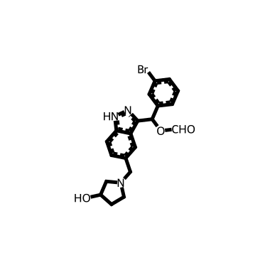 O=COC(c1cccc(Br)c1)c1n[nH]c2ccc(CN3CCC(O)C3)cc12